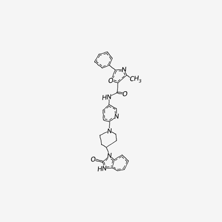 Cc1nc(-c2ccccc2)oc1C(=O)Nc1ccc(N2CCC(n3c(=O)[nH]c4ccccc43)CC2)nc1